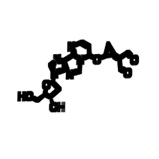 O=CC(C=O)=C1CC1OC1C=CN=C2c3ncn([C@H]4C[C@H](O)[C@@H](CO)O4)c3N=CN21